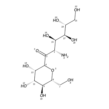 N[C@H](C(=O)C1O[C@H](CO)[C@@H](O)[C@H](O)[C@@H]1O)[C@@H](O)[C@H](O)[C@H](O)CO